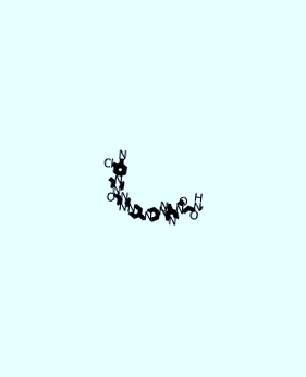 CNC(=O)CCN(C=O)c1cncc2c1cnn2C1CCN(CC2CCN(c3cnc(C(=O)N4CCN(c5ccc(C#N)c(Cl)c5)C(C)C4)cn3)CC2)CC1